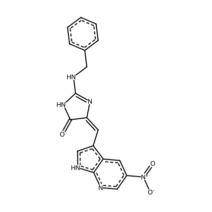 O=C1NC(NCc2ccccc2)=N/C1=C/c1c[nH]c2ncc([N+](=O)[O-])cc12